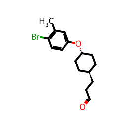 Cc1cc(O[C@H]2CC[C@H](CCC=O)CC2)ccc1Br